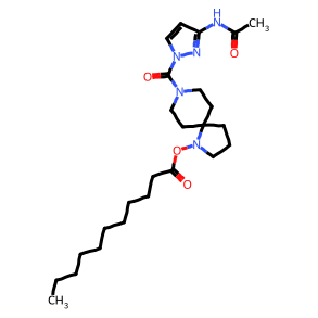 CCCCCCCCCCC(=O)ON1CCCC12CCN(C(=O)n1ccc(NC(C)=O)n1)CC2